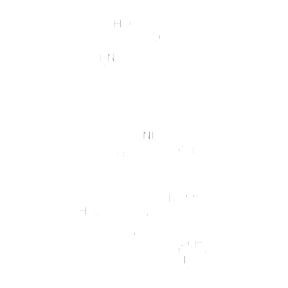 C=CCP(=O)(CC=C)C(CCC(=O)NCCCC[C@H](N)C(=O)O)P(=O)(CC=C)CC=C